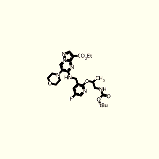 CCOC(=O)c1cnn2cc(N3CCOCC3)c(NCc3cc(F)cnc3OC(C)CNC(=O)OC(C)(C)C)nc12